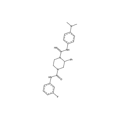 CC(C)C1CN(C(=O)Nc2cccc(F)c2)CCN1C(=N)Nc1ccc(N(C)C)cc1